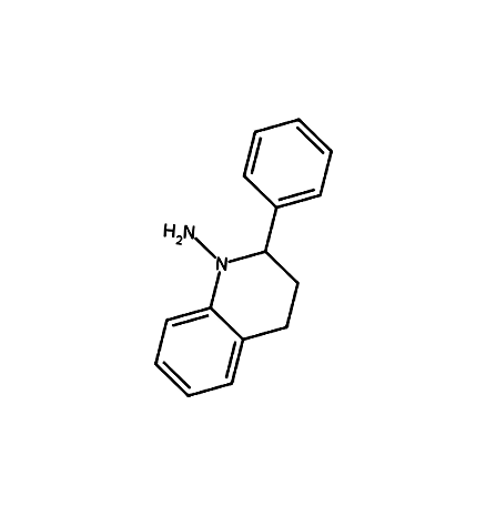 NN1c2ccccc2CCC1c1ccccc1